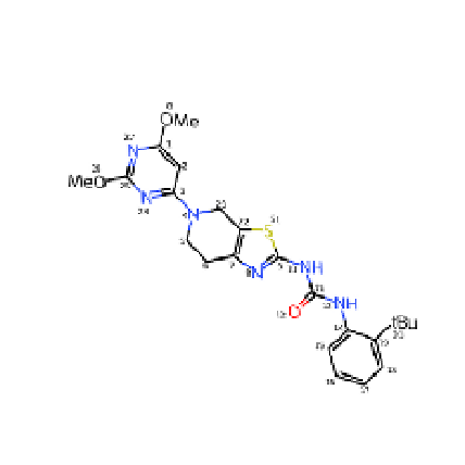 COc1cc(N2CCc3nc(NC(=O)Nc4ccccc4C(C)(C)C)sc3C2)nc(OC)n1